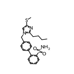 CCCCc1nc(SC)cn1Cc1ccc(-c2ccccc2S(N)(=O)=O)cc1